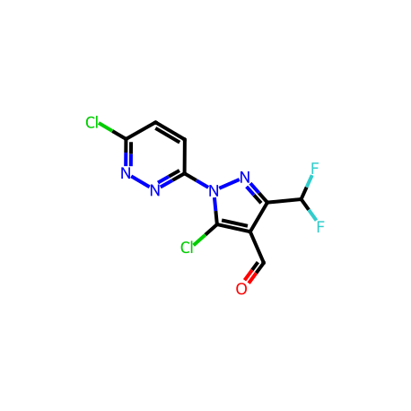 O=Cc1c(C(F)F)nn(-c2ccc(Cl)nn2)c1Cl